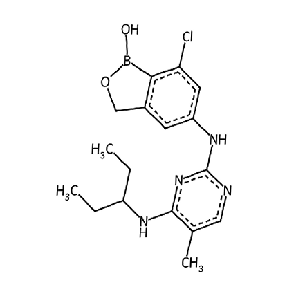 CCC(CC)Nc1nc(Nc2cc(Cl)c3c(c2)COB3O)ncc1C